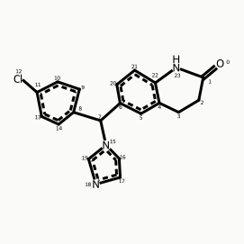 O=C1CCc2cc(C(c3ccc(Cl)cc3)n3ccnc3)ccc2N1